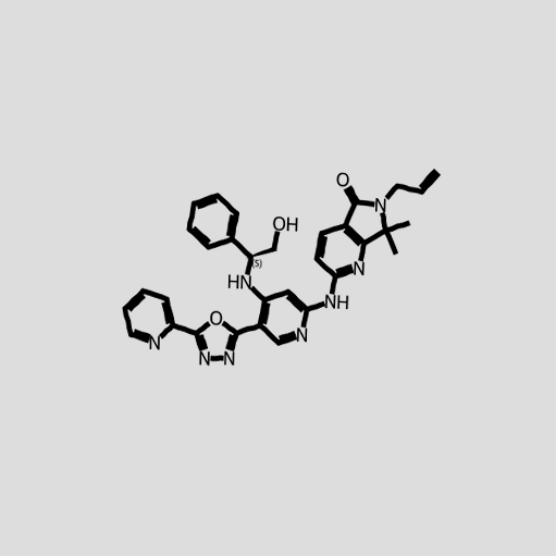 C=CCN1C(=O)c2ccc(Nc3cc(N[C@H](CO)c4ccccc4)c(-c4nnc(-c5ccccn5)o4)cn3)nc2C1(C)C